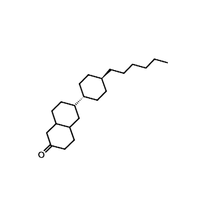 CCCCCC[C@H]1CC[C@H](C2CCC3CC(=O)CCC3C2)CC1